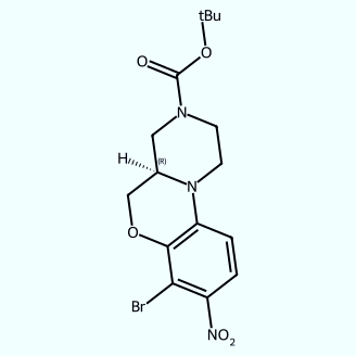 CC(C)(C)OC(=O)N1CCN2c3ccc([N+](=O)[O-])c(Br)c3OC[C@H]2C1